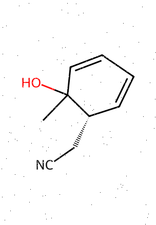 CC1(O)C=CC=C[C@@H]1CC#N